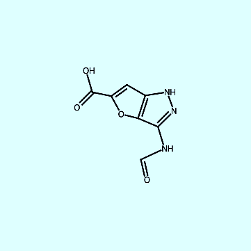 O=CNc1n[nH]c2cc(C(=O)O)oc12